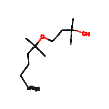 CCCCCCCCCCC(C)(C)OCCC(C)(C)O